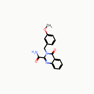 COc1cccc(Cn2c(C(N)=O)nc3ccccc3c2=O)c1